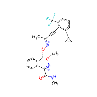 CNC(=O)/C(=N/OC)c1ccccc1CO/N=C(\C)C#Cc1c(C2CC2)cccc1C(F)(F)F